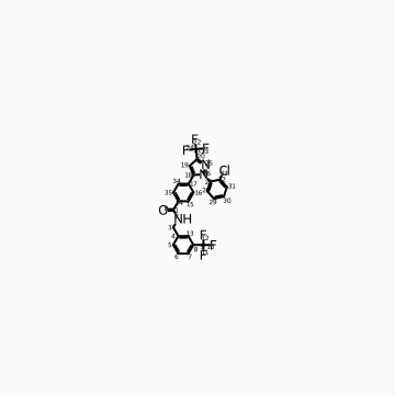 O=C(NCc1cccc(C(F)(F)F)c1)c1ccc(-c2cc(C(F)(F)F)nn2-c2ccccc2Cl)cc1